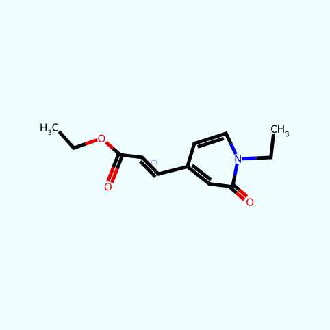 CCOC(=O)/C=C/c1ccn(CC)c(=O)c1